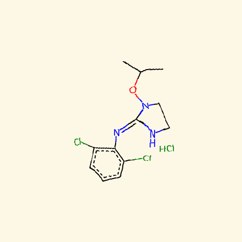 CC(C)ON1CCN/C1=N\c1c(Cl)cccc1Cl.Cl